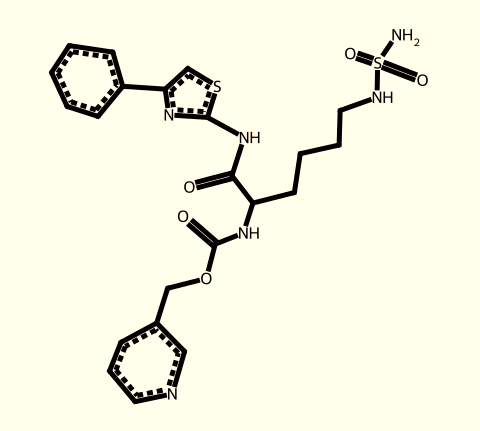 NS(=O)(=O)NCCCCC(NC(=O)OCc1cccnc1)C(=O)Nc1nc(-c2ccccc2)cs1